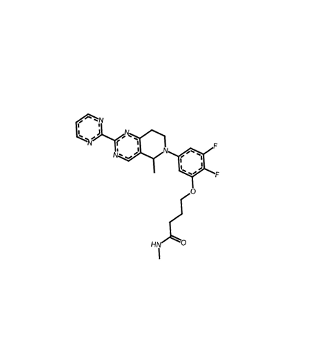 CNC(=O)CCCOc1cc(N2CCc3nc(-c4ncccn4)ncc3C2C)cc(F)c1F